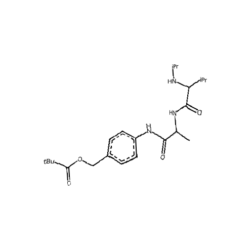 CC(C)NC(C(=O)NC(C)C(=O)Nc1ccc(COC(=O)C(C)(C)C)cc1)C(C)C